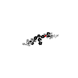 COC(=O)N[C@H](C(=O)N1CCC[C@H]1c1nc2cc([C@H]3CC[C@H](c4ccc5[nH]c([C@@H]6CCCN6C(=O)[C@@H](NC(=O)O)C(C)C)nc5c4)N3c3ccc(N4CCCC4)nc3)ccc2[nH]1)C(C)C